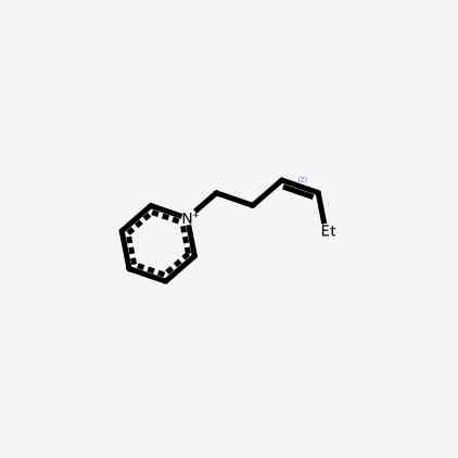 CC/C=C\CC[n+]1ccccc1